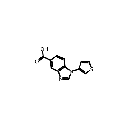 O=C(O)c1ccc2c(c1)ncn2-c1ccsc1